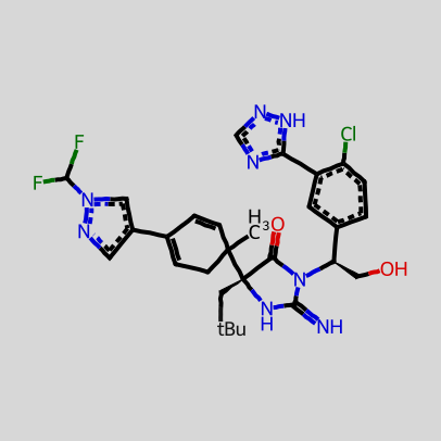 CC(C)(C)C[C@]1(C2(C)C=CC(c3cnn(C(F)F)c3)=CC2)NC(=N)N([C@H](CO)c2ccc(Cl)c(-c3ncn[nH]3)c2)C1=O